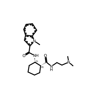 CN(C)CCNC(=O)[C@@H]1CCCC[C@@H]1NC(=O)c1cc2ccccc2n1C